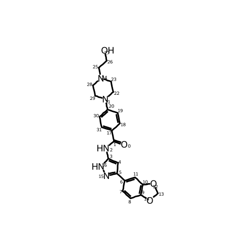 O=C(Nc1cc(-c2ccc3c(c2)OCO3)n[nH]1)c1ccc(N2CCN(CCO)CC2)cc1